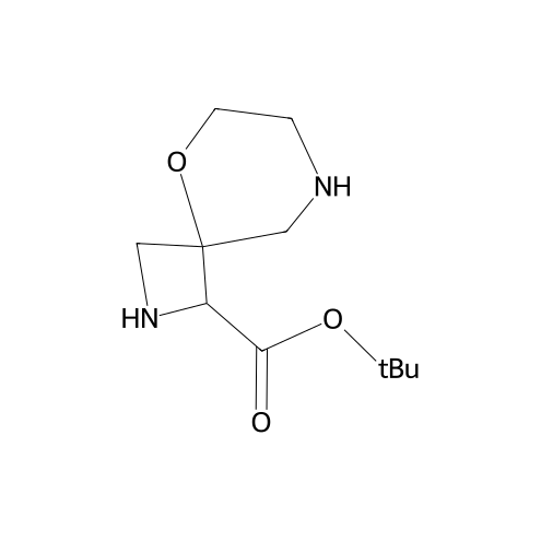 CC(C)(C)OC(=O)C1NCC12CNCCO2